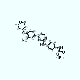 CC(C)(C)OC(=O)Nc1ccc(Nc2nccc(-c3ccc(OC4CCOCC4)c(C#N)c3)n2)cc1